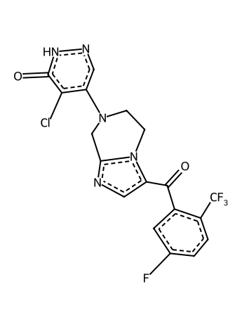 O=C(c1cc(F)ccc1C(F)(F)F)c1cnc2n1CCN(c1cn[nH]c(=O)c1Cl)C2